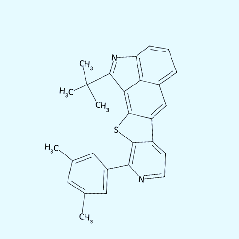 Cc1cc(C)cc(-c2nccc3c2sc2c4c5c(cccc5cc23)N=C4C(C)(C)C)c1